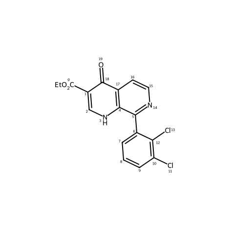 CCOC(=O)c1c[nH]c2c(-c3cccc(Cl)c3Cl)nccc2c1=O